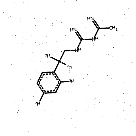 [2H]c1ccc(C([2H])([2H])CNC(=N)NC(C)=N)c([2H])c1